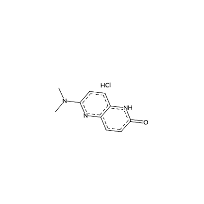 CN(C)c1ccc2[nH]c(=O)ccc2n1.Cl